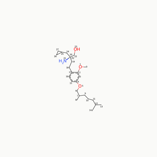 COc1cc(OCC(C)CCCC(C)C)ccc1CC[C@@](N)(CO)CC1CC1